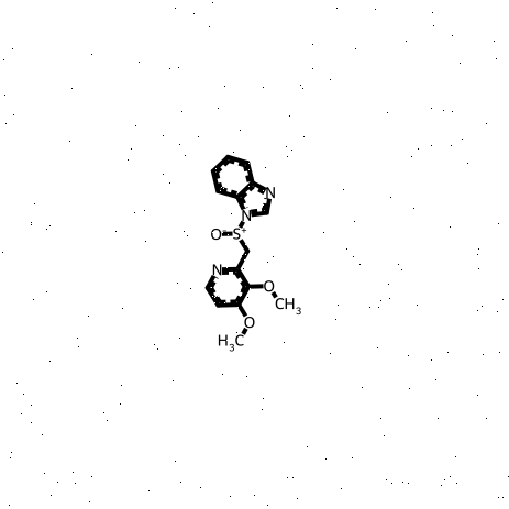 COc1ccnc(C[S+]([O-])n2cnc3ccccc32)c1OC